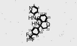 O=C(Nc1cccnc1)NC1(c2ccc(C(F)(F)F)cc2)CCOc2ccccc21